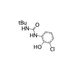 CC(C)(C)NC(=O)Nc1cccc(Cl)c1O